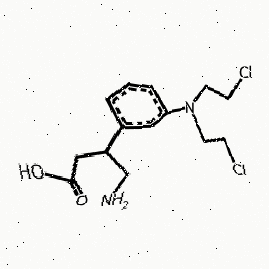 NCC(CC(=O)O)c1cccc(N(CCCl)CCCl)c1